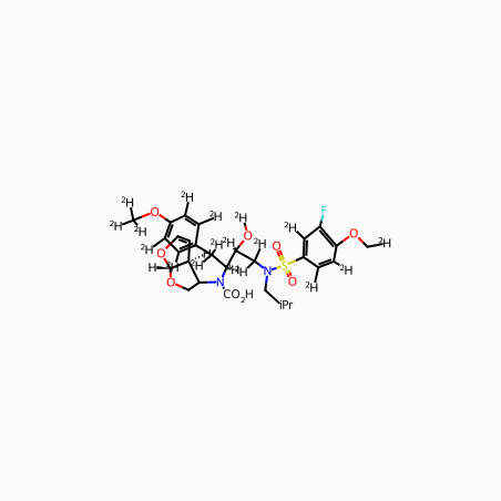 [2H]COc1c([2H])c([2H])c(S(=O)(=O)N(CC(C)C)C([2H])([2H])[C@@]([2H])(O[2H])[C@@]([2H])(N(C(=O)O)C2CO[C@@H]3OC=C[C@@H]23)C([2H])([2H])c2c([2H])c([2H])c(OC([2H])([2H])[2H])c([2H])c2[2H])c([2H])c1F